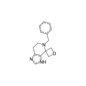 c1ccc(CN2CCc3nc[nH]c3C23COC3)cc1